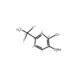 COc1cnc(C(C)(F)F)nc1Cl